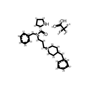 O=C(O)C(F)(F)F.O=C([C@@H]1CCCN1)N(CCCN1CCC(Cc2ccccc2)CC1)Cc1ccccc1